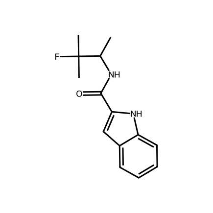 CC(NC(=O)c1cc2ccccc2[nH]1)C(C)(C)F